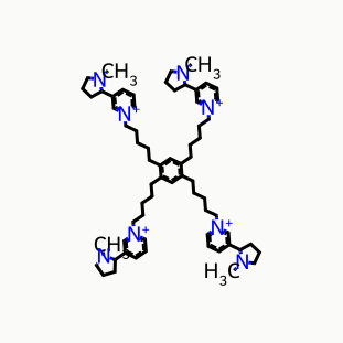 CN1CCCC1c1ccc[n+](CCCCCc2cc(CCCCC[n+]3cccc(C4CCCN4C)c3)c(CCCCC[n+]3cccc(C4CCCN4C)c3)cc2CCCCC[n+]2cccc(C3CCCN3C)c2)c1